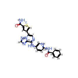 NC(=O)c1cc(-c2cnc(Nc3ccc(NC(=O)c4ccccc4)nc3)c3ncnn23)cs1